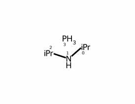 CC(C)NC(C)C.P